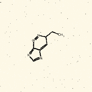 CCC1C=C2N=CN=C2N=N1